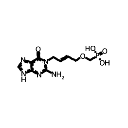 Nc1nc2[nH]cnc2c(=O)n1C/C=C/COCP(=O)(O)O